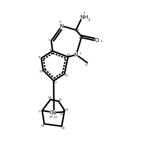 CN1C(=O)C(N)N=Cc2ccc(N3CC4CCC(CC4)C3)cc21